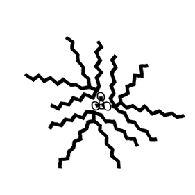 CCCCCCCCCCC(CCCCCCCC)C(CCCCCCCC)(CCCCCCCC)OB(OC(CCCCCCCC)(CCCCCCCC)C(CCCCCCCC)CCCCCCCCCC)OC(CCCCCCCC)(CCCCCCCC)C(CCCCCCCC)CCCCCCCCCC